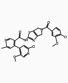 COc1cc(C(=O)N2Cc3nc(NC(=O)c4cnc(C)cc4-c4cc(Cl)ncc4OC)sc3C2)ccc1Cl